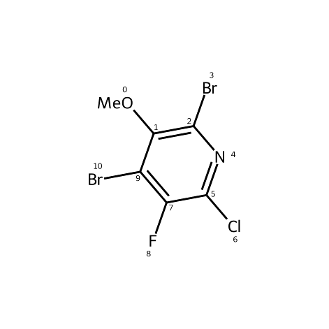 COc1c(Br)nc(Cl)c(F)c1Br